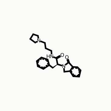 O=C(NCCCN1CCCC1)[C@H](Cc1ccccc1)N1Cc2ccccc2C1=O